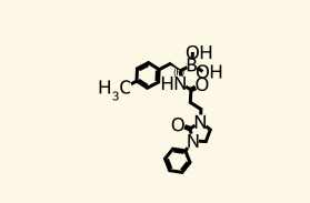 Cc1ccc(C[C@H](NC(=O)CCN2CCN(c3ccccc3)C2=O)B(O)O)cc1